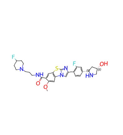 COc1cc2c(cc1C(=O)NCCCN1CCC(F)CC1)sc1nc(-c3ccc([C@@H]4C[C@H](O)CN4)cc3F)cn12